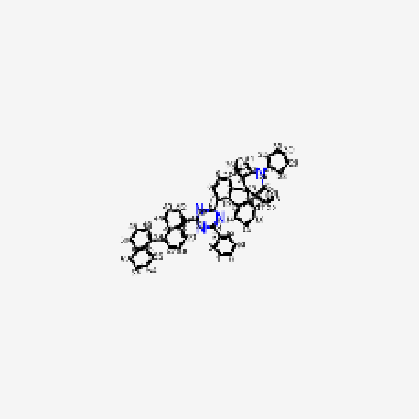 c1ccc(-c2nc(-c3cccc4c3-c3ccccc3C43c4ccccc4N(c4ccccc4)c4ccccc43)nc(-c3cccc4c(-c5cccc6ccccc56)cccc34)n2)cc1